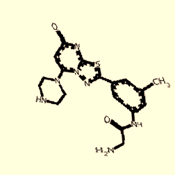 Cc1cc(NC(=O)CN)cc(-c2nn3c(N4CCNCC4)cc(=O)nc3s2)c1